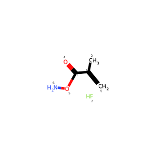 C=C(C)C(=O)ON.F